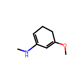 CNC1=CCCC(OC)=C1